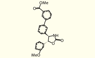 COC(=O)c1cccc(-c2cccc([C@H]3NC(=O)O[C@@H]3c3cccc(OC)c3)c2)c1